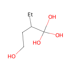 CCC(CCO)C(O)(O)O